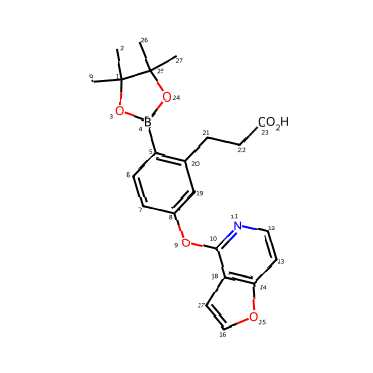 CC1(C)OB(c2ccc(Oc3nccc4occc34)cc2CCC(=O)O)OC1(C)C